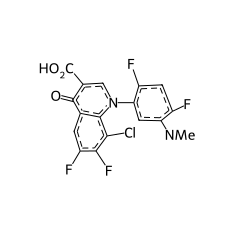 CNc1cc(-n2cc(C(=O)O)c(=O)c3cc(F)c(F)c(Cl)c32)c(F)cc1F